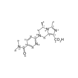 Cc1nc(C(=O)O)c2n1[C@H](C)CN(c1ccc(C(=O)N(C)C)cn1)C2